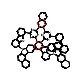 C1=CC2c3c(ccc4ccccc34)N(c3cccc4c3sc3c(-c5nc(-c6cccc(-c7ccc(-c8ccccc8-c8cccc(-c9nc(-c%10ccccc%10)nc(C%10CC=Cc%11c%10sc%10c(-n%12c%13ccccc%13c%13cc%14c(cc%13%12)C=CCC%14)cccc%11%10)n9)c8)cc7)c6)nc(-c6ccc7ccccc7c6)n5)cccc34)C2C=C1